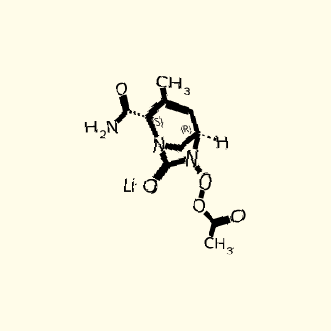 CC(=O)OON1C(=O)N2C[C@H]1C=C(C)[C@H]2C(N)=O.[Li]